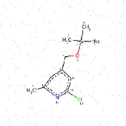 Cc1cc(CO[Si](C)(C)C(C)(C)C)cc(Cl)n1